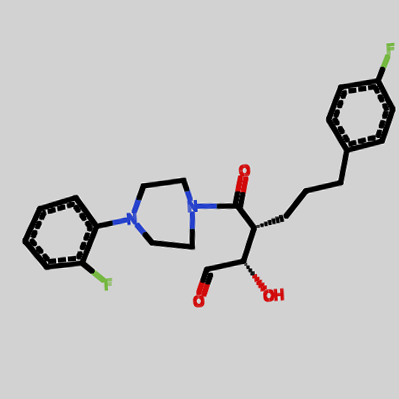 O=C[C@@H](O)[C@@H](CCCc1ccc(F)cc1)C(=O)N1CCN(c2ccccc2F)CC1